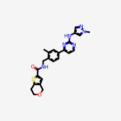 Cc1cc(-c2ccnc(Nc3cnn(C)c3)n2)ccc1CNC(=O)c1cc2c(s1)CCOC2